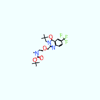 CN(CCOCc1nc2ccc(C(F)(F)F)cc2c(=O)n1CC(C)(C)C)C(=O)OC(C)(C)C